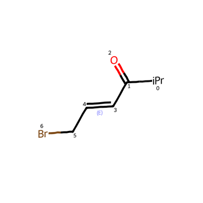 CC(C)C(=O)/C=C/CBr